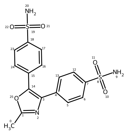 Cc1nc(-c2ccc(S(N)(=O)=O)cc2)c(-c2ccc(S(N)(=O)=O)cc2)o1